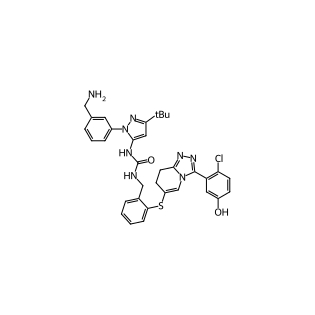 CC(C)(C)c1cc(NC(=O)NCc2ccccc2SC2=Cn3c(nnc3-c3cc(O)ccc3Cl)CC2)n(-c2cccc(CN)c2)n1